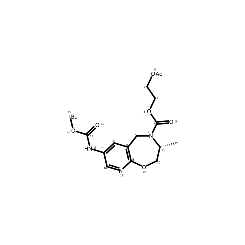 CC(=O)OCCOC(=O)N1Cc2cc(NC(=O)OC(C)(C)C)cnc2OC[C@H]1C